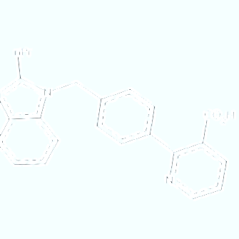 CCCc1nc2ccccc2n1Cc1ccc(-c2ncccc2C(=O)O)cc1